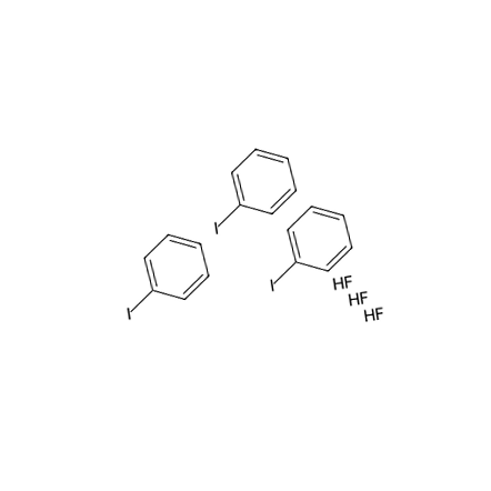 F.F.F.Ic1ccccc1.Ic1ccccc1.Ic1ccccc1